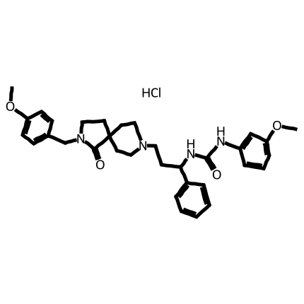 COc1ccc(CN2CCC3(CCN(CCC(NC(=O)Nc4cccc(OC)c4)c4ccccc4)CC3)C2=O)cc1.Cl